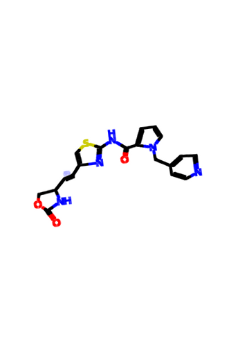 O=C1NC(/C=C/c2csc(NC(=O)c3cccn3Cc3ccncc3)n2)CO1